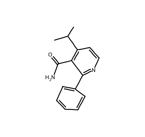 CC(C)c1ccnc(-c2ccccc2)c1C(N)=O